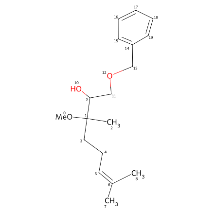 COC(C)(CCC=C(C)C)C(O)COCc1ccccc1